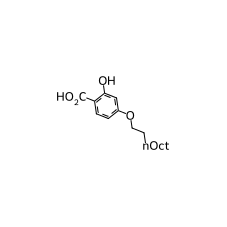 CCCCCCCCCCOc1ccc(C(=O)O)c(O)c1